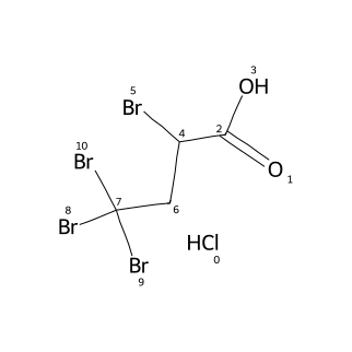 Cl.O=C(O)C(Br)CC(Br)(Br)Br